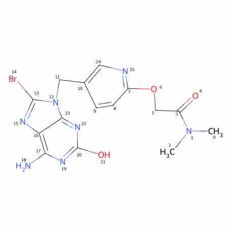 CN(C)C(=O)COc1ccc(Cn2c(Br)nc3c(N)nc(O)nc32)cn1